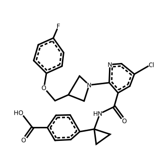 O=C(O)c1ccc(C2(NC(=O)c3cc(Cl)cnc3N3CC(COc4ccc(F)cc4)C3)CC2)cc1